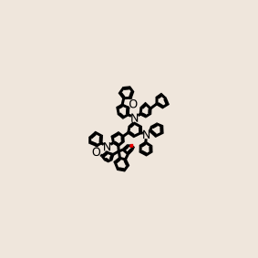 c1ccc(-c2ccc(N(c3cc(-c4ccc5c(c4)C4(c6ccccc6-c6ccccc64)c4cccc6c4N5c4ccccc4O6)cc(N(c4ccccc4)c4ccccc4)c3)c3cccc4c3oc3ccccc34)cc2)cc1